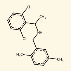 Cc1ccc(C)c(CNC(C)c2c(Cl)cccc2Cl)c1